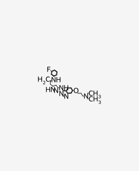 C=C(CC1CC(Nc2ncnc3cc(OCCCN(CC)CC)ccc23)=NN1)Nc1cccc(F)c1